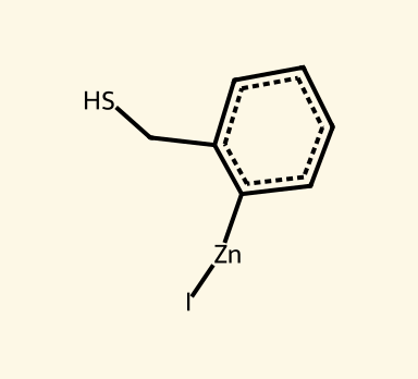 SCc1cccc[c]1[Zn][I]